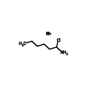 CCCCCC(N)Cl.[Rh]